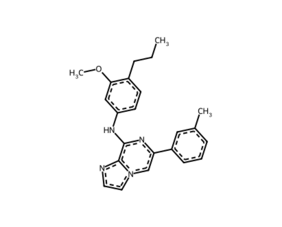 CCCc1ccc(Nc2nc(-c3cccc(C)c3)cn3ccnc23)cc1OC